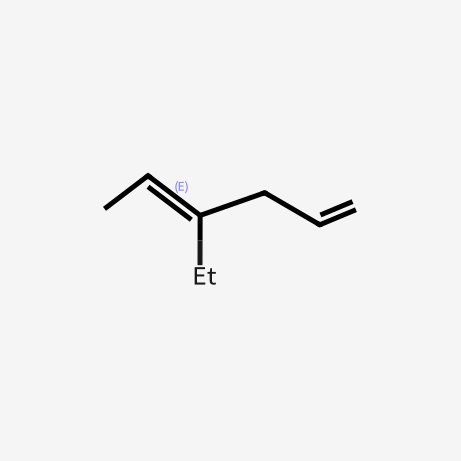 C=CC/C(=C/C)CC